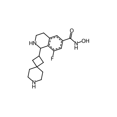 O=C(NO)c1cc(F)c2c(c1)CCNC2C1CC2(CCNCC2)C1